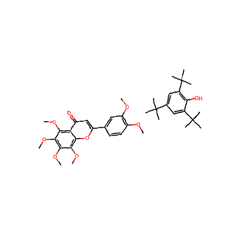 CC(C)(C)c1cc(C(C)(C)C)c(O)c(C(C)(C)C)c1.COc1ccc(-c2cc(=O)c3c(OC)c(OC)c(OC)c(OC)c3o2)cc1OC